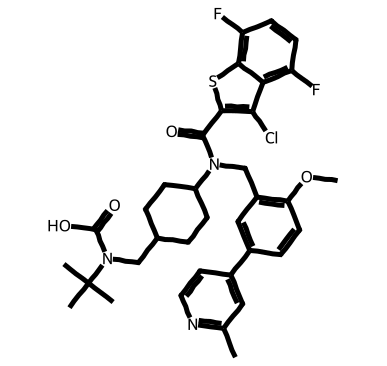 COc1ccc(-c2ccnc(C)c2)cc1CN(C(=O)c1sc2c(F)ccc(F)c2c1Cl)C1CCC(CN(C(=O)O)C(C)(C)C)CC1